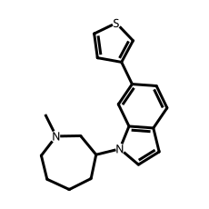 CN1CCCCC(n2ccc3ccc(-c4ccsc4)cc32)C1